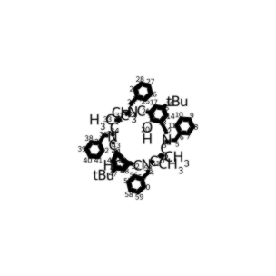 CC1(C)CN(Cc2ccccc2)Cc2cc(C(C)(C)C)cc(c2O)CN(Cc2ccccc2)CC(C)(C)CN(Cc2ccccc2)Cc2cc(C(C)(C)C)cc(c2O)CN(Cc2ccccc2)C1